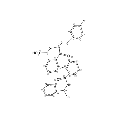 Cc1ccc(CCN(CCC(=O)O)C(=O)c2ccccc2-c2ccccc2C(=O)NC(C)c2ccccc2)cc1